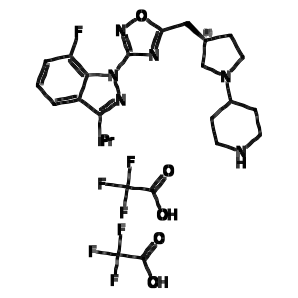 CC(C)c1nn(-c2noc(C[C@H]3CCN(C4CCNCC4)C3)n2)c2c(F)cccc12.O=C(O)C(F)(F)F.O=C(O)C(F)(F)F